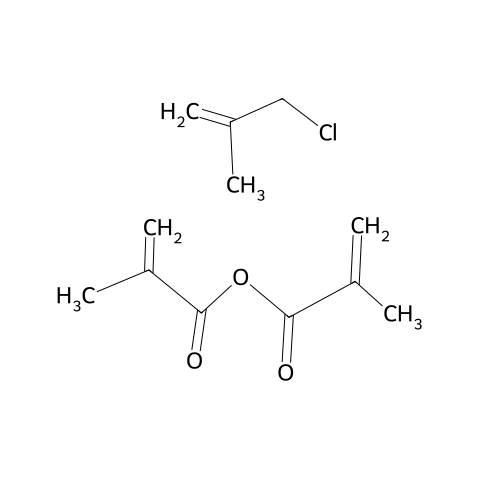 C=C(C)C(=O)OC(=O)C(=C)C.C=C(C)CCl